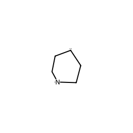 [C]1CC[N]CC1